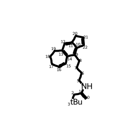 C=C(CC(C)(C)C)NCCCCc1c2c(cc3c1C=CCCC3)CC=C2